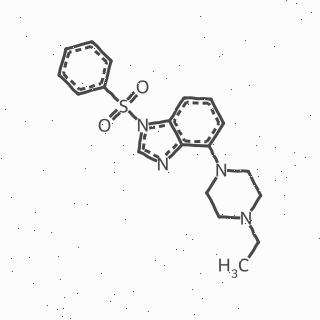 CCN1CCN(c2cccc3c2ncn3S(=O)(=O)c2ccccc2)CC1